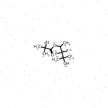 CCC(C)(C)C(=O)OC(C)C(F)(F)C(C)(O)C(F)(F)F